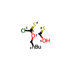 CCCCCOC(=S)Cl.OC=S